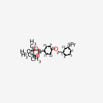 CC(C)c1cccc(COc2ccc(B3OC(C)(C)C(C)(C)O3)cc2)c1